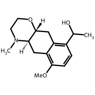 COc1ccc(C(C)O)c2c1C[C@@H]1[C@@H](C2)OCCN1C